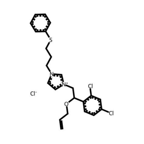 C=CCOC(C[n+]1ccn(CCCSc2ccccc2)c1)c1ccc(Cl)cc1Cl.[Cl-]